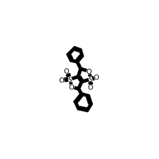 O=S1(=O)OC(c2ccccc2)C2=C1C(c1ccccc1)OS2(=O)=O